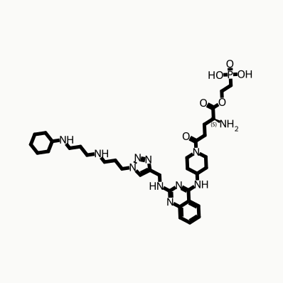 N[C@@H](CCC(=O)N1CCC(Nc2nc(NCc3cn(CCCNCCCNC4CCCCC4)nn3)nc3ccccc23)CC1)C(=O)OCCP(=O)(O)O